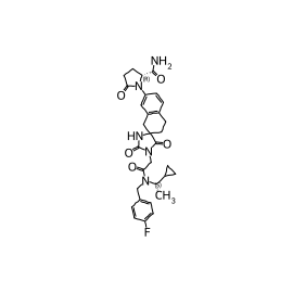 C[C@@H](C1CC1)N(Cc1ccc(F)cc1)C(=O)CN1C(=O)NC2(CCc3ccc(N4C(=O)CC[C@@H]4C(N)=O)cc3C2)C1=O